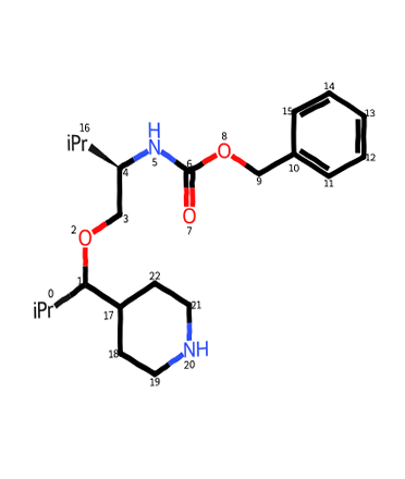 CC(C)C(OC[C@H](NC(=O)OCc1ccccc1)C(C)C)C1CCNCC1